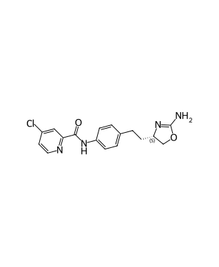 NC1=N[C@@H](CCc2ccc(NC(=O)c3cc(Cl)ccn3)cc2)CO1